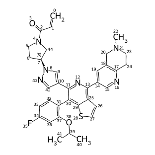 C=CC(=O)N1CC[C@H](n2cc(-c3nc(-c4cnc5c(c4)CN(C)CC5)c4ccsc4c3-c3ccc(F)cc3OC(C)C)cn2)C1